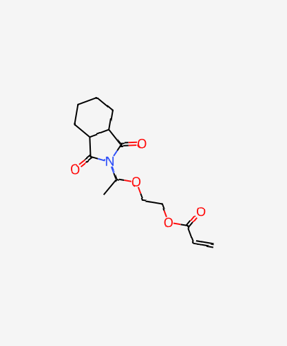 C=CC(=O)OCCOC(C)N1C(=O)C2CCCCC2C1=O